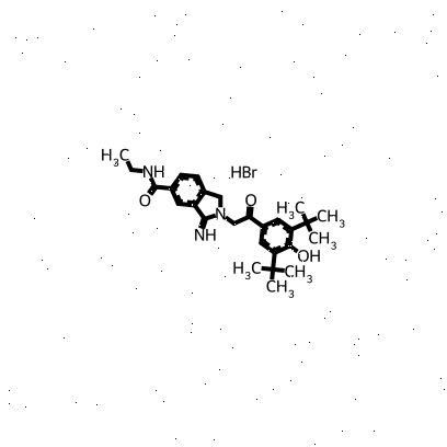 Br.CCNC(=O)c1ccc2c(c1)C(=N)N(CC(=O)c1cc(C(C)(C)C)c(O)c(C(C)(C)C)c1)C2